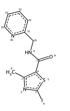 Cc1nc(I)sc1C(=O)NCc1ccccn1